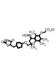 CCOC(=O)COc1c(C)c(C)c2c(c1C)/C(=N/O)CC(C)(COc1ccc(CC3SC(=O)NC3=O)cc1)O2